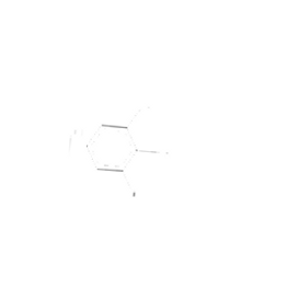 CC(C)c1cccc(C(C)C)c1O.CO